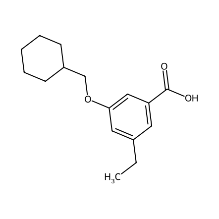 CCc1cc(OCC2CCCCC2)cc(C(=O)O)c1